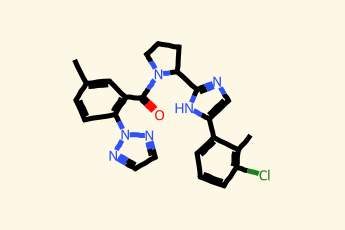 Cc1ccc(-n2nccn2)c(C(=O)N2CCCC2c2ncc(-c3cccc(Cl)c3C)[nH]2)c1